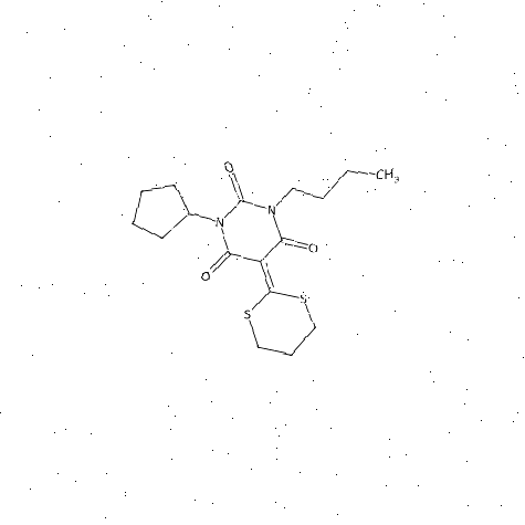 CCCCN1C(=O)C(=C2SCCCS2)C(=O)N(C2CCCC2)C1=O